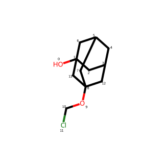 OC12CC3CC(C1)CC(OCCl)(C3)C2